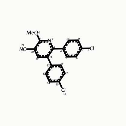 COc1nc(-c2ccc(Cl)cc2)c(-c2ccc(Cl)cc2)cc1C#N